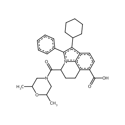 CC1CN(C(=O)C2CCc3c(C(=O)O)ccc4c(C5CCCCC5)c(-c5ccccc5)n2c34)CC(C)O1